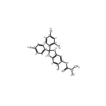 CCN(C)C(=O)Oc1cc2c(cc1F)OC(c1ccc(F)cc1)(c1ccc(Cl)cc1Cl)O2